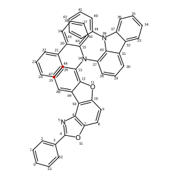 c1ccc(-c2nc3c(ccc4oc5c(N(c6ccccc6-c6ccccc6)c6cccc7c8ccccc8n(-c8ccccc8)c67)cccc5c43)o2)cc1